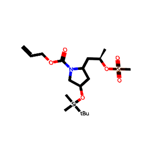 C=CCOC(=O)N1CC(O[Si](C)(C)C(C)(C)C)CC1C[C@@H](C)OS(C)(=O)=O